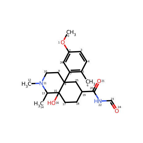 COc1ccc(C)c(C23CCN(C)C(C)C2(O)CCC(C(=O)NC=O)C3)c1